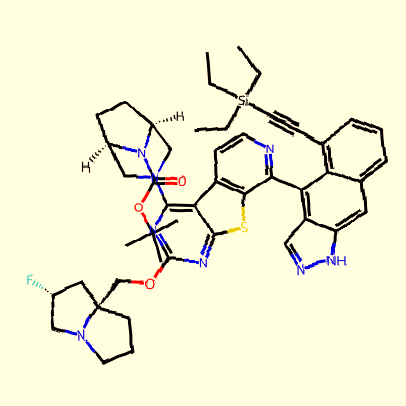 CC[Si](C#Cc1cccc2cc3[nH]ncc3c(-c3nccc4c3sc3nc(OC[C@@]56CCCN5C[C@H](F)C6)nc(N5C[C@H]6CC[C@@H](C5)N6C(=O)OC(C)(C)C)c34)c12)(CC)CC